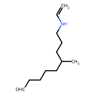 C=CNCCCC(C)CCCCC=O